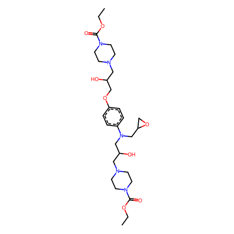 CCOC(=O)N1CCN(CC(O)COc2ccc(N(CC(O)CN3CCN(C(=O)OCC)CC3)CC3CO3)cc2)CC1